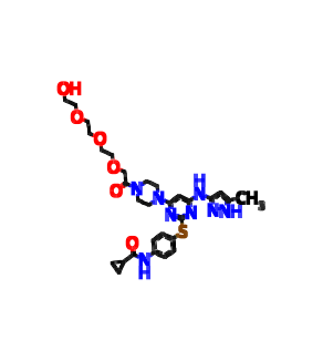 Cc1cc(Nc2cc(N3CCN(C(=O)COCCOCCOCCO)CC3)nc(Sc3ccc(NC(=O)C4CC4)cc3)n2)n[nH]1